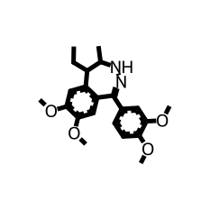 CCC1c2cc(OC)c(OC)cc2C(c2ccc(OC)c(OC)c2)=NNC1C